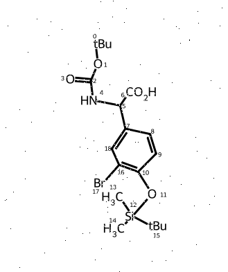 CC(C)(C)OC(=O)NC(C(=O)O)c1ccc(O[Si](C)(C)C(C)(C)C)c(Br)c1